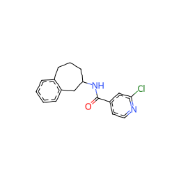 O=C(NC1CCCc2ccccc2C1)c1ccnc(Cl)c1